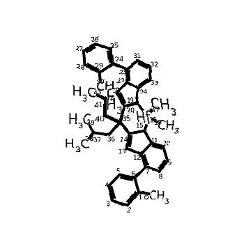 Cc1ccccc1-c1cccc2c1C=C1[CH]2[Hf]([CH3])([CH3])[CH]2C(=Cc3c(-c4ccccc4C)cccc32)C1(CC(C)C)CC(C)C